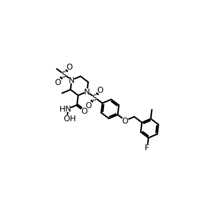 Cc1ccc(F)cc1COc1ccc(S(=O)(=O)N2CCN(S(C)(=O)=O)C(C)C2C(=O)NO)cc1